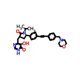 CC(C)N1C(=O)C(Cc2nc[nH]c(=O)c2O)CC1c1ccc(C#Cc2ccc(CN3CCOCC3)cc2)cc1